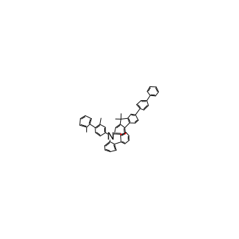 Cc1ccccc1-c1ccc(N(c2ccc3c(c2)C(C)(C)c2cc(-c4ccc(-c5ccccc5)cc4)ccc2-3)c2ccccc2-c2ccccc2)cc1C